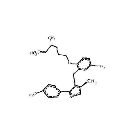 Cc1ccc(-c2ncc(C)n2Cc2cc(C)ccc2OCCC[C@@H](C)CC(=O)O)cc1